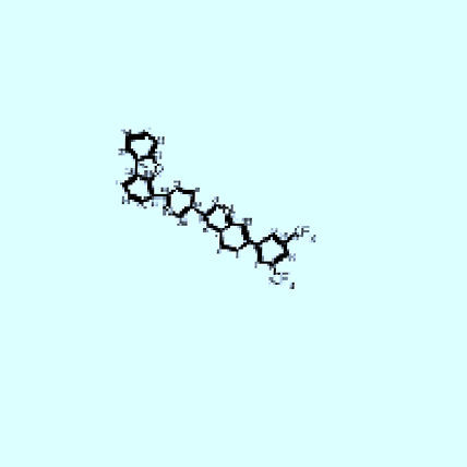 FC(F)(F)c1cc(-c2ccc3cc(-c4ccc(-c5cccc6c5oc5ccccc56)nc4)cnc3c2)cc(C(F)(F)F)c1